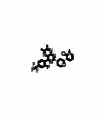 Cc1nc2nc([C@H]3CCO[C@@H](c4cccn(C)c4=O)C3)nc(-c3ccc(C(F)(F)F)cc3F)c2nc1C